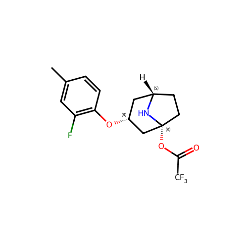 Cc1ccc(O[C@@H]2C[C@@H]3CC[C@@](OC(=O)C(F)(F)F)(C2)N3)c(F)c1